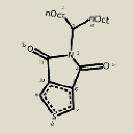 CCCCCCCCC(CCCCCCCC)N1C(=O)c2cscc2C1=O